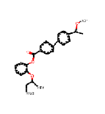 CCCCCCCCCCCC(CCC)Oc1ccccc1OC(=O)c1ccc(-c2ccc(C(C)OCCCCCCCC)cc2)cc1